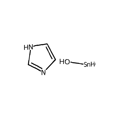 [OH][SnH].c1c[nH]cn1